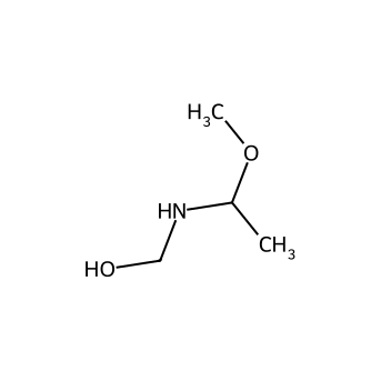 COC(C)NCO